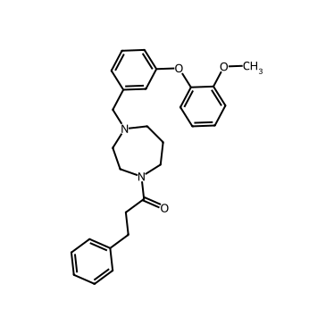 COc1ccccc1Oc1cccc(CN2CCCN(C(=O)CCc3ccccc3)CC2)c1